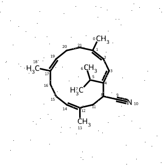 C/C1=C/C=C(\C(C)C)C(C#N)C/C(C)=C\CC/C(C)=C\CC1